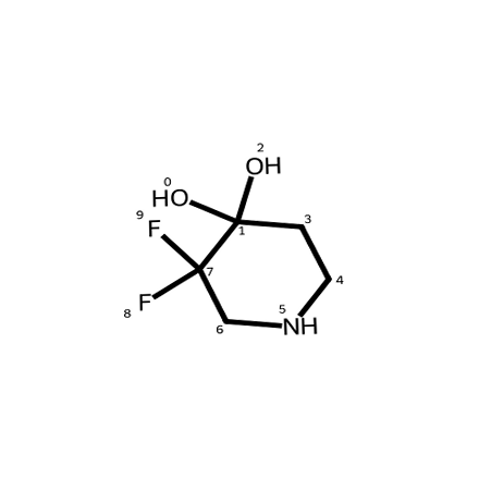 OC1(O)CCNCC1(F)F